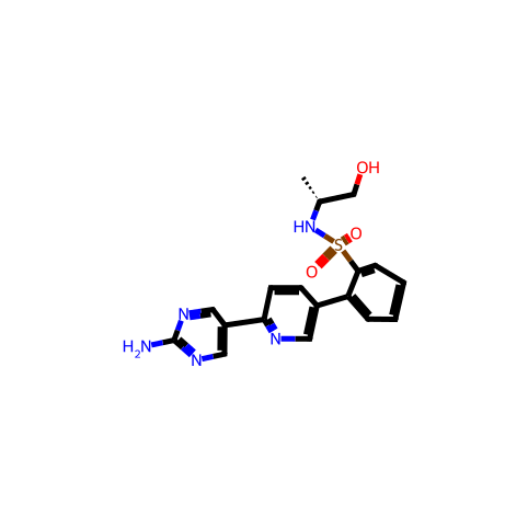 C[C@H](CO)NS(=O)(=O)c1ccccc1-c1ccc(-c2cnc(N)nc2)nc1